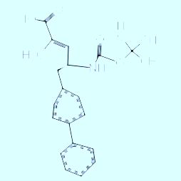 CC(=C[C@H](Cc1ccc(-c2ccccc2)cc1)NC(=O)OC(C)(C)C)C(=O)O